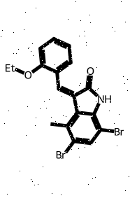 CCOc1ccccc1C=C1C(=O)Nc2c(Br)cc(Br)c(C)c21